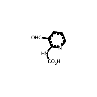 O=Cc1cccnc1NC(=O)O